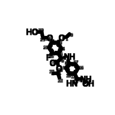 CCOc1cc([C@@H](Nc2ccc(C(=N)NO)cc2)C(=O)OC(C)C)c(F)cc1OCCO